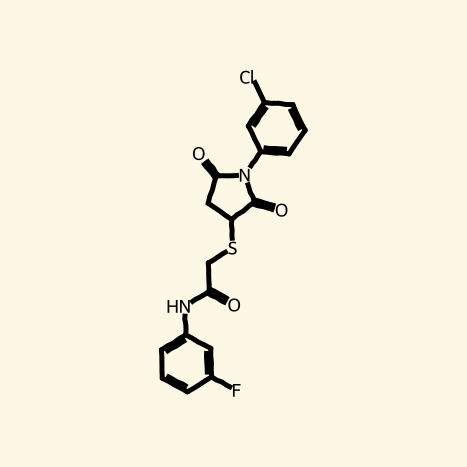 O=C(CSC1CC(=O)N(c2cccc(Cl)c2)C1=O)Nc1cccc(F)c1